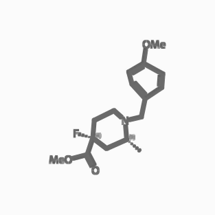 COC(=O)[C@@]1(F)CCN(Cc2ccc(OC)cc2)[C@H](C)C1